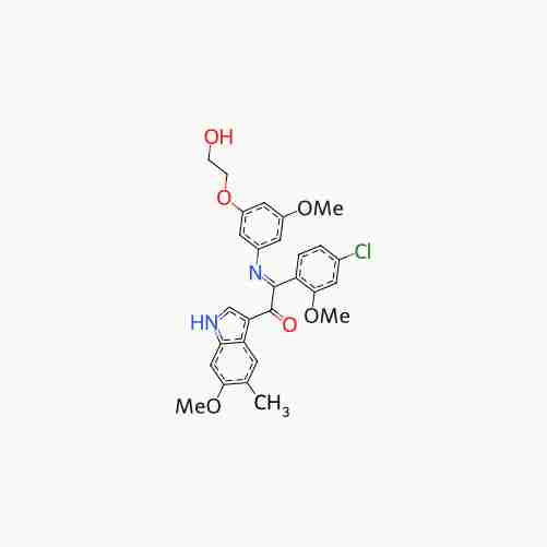 COc1cc(/N=C(/C(=O)c2c[nH]c3cc(OC)c(C)cc23)c2ccc(Cl)cc2OC)cc(OCCO)c1